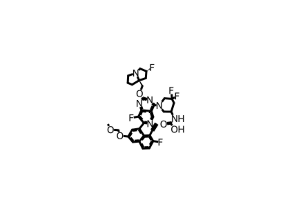 C#Cc1c(F)ccc2cc(OCOC)cc(-c3ncc4c(N5CC(NC(=O)O)CC(F)(F)C5)nc(OC[C@@]56CCCN5C[C@H](F)C6)nc4c3F)c12